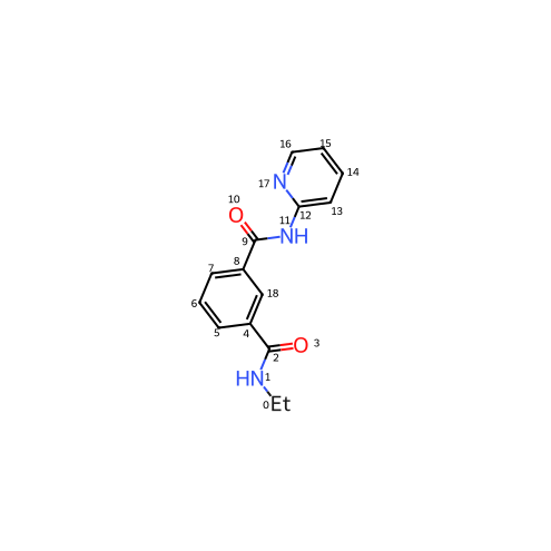 CCNC(=O)c1cccc(C(=O)Nc2ccccn2)c1